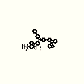 CC1(C)CCC(C)(C)c2c(-c3cccc(N(c4ccc(-c5ccccc5)cc4)c4ccc(-c5ccc6c(c5)C5(c7ccccc7-6)C6CC7CC8CC5C86C7)cc4)c3)cccc21